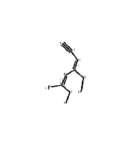 C#C/C=C(\C=C(\F)CC)CC